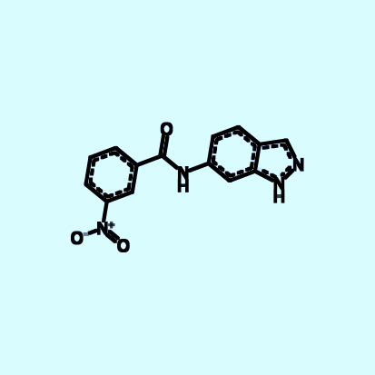 O=C(Nc1ccc2cn[nH]c2c1)c1cccc([N+](=O)[O-])c1